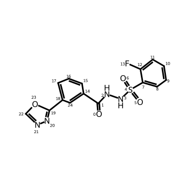 O=C(NNS(=O)(=O)c1ccccc1F)c1cccc(-c2nnco2)c1